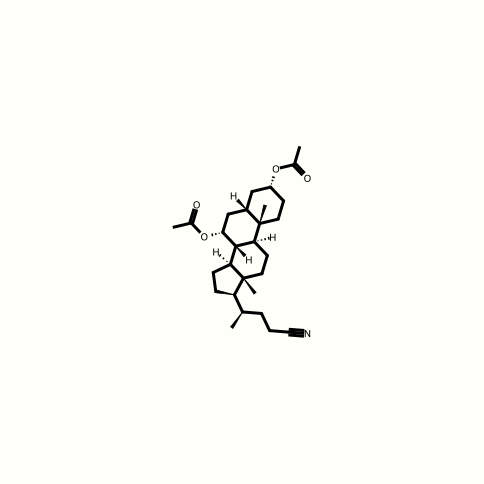 CC(=O)O[C@@H]1CC[C@@]2(C)[C@@H](C1)C[C@@H](OC(C)=O)[C@@H]1[C@@H]2CC[C@]2(C)[C@@H]([C@H](C)CCC#N)CC[C@@H]12